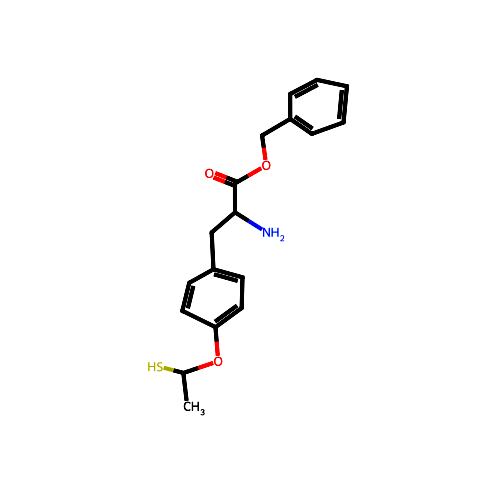 CC(S)Oc1ccc(CC(N)C(=O)OCc2ccccc2)cc1